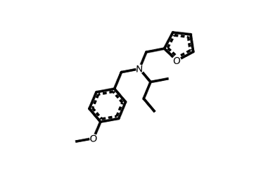 CCC(C)N(Cc1ccc(OC)cc1)Cc1ccco1